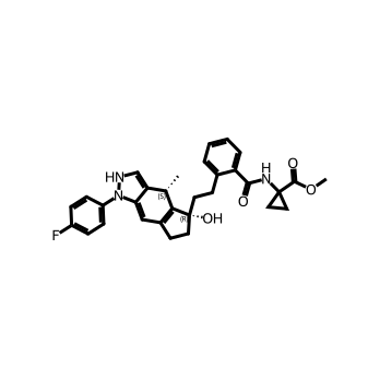 COC(=O)C1(NC(=O)c2ccccc2CC[C@@]2(O)CCC3=C2[C@@H](C)C2=CNN(c4ccc(F)cc4)C2=C3)CC1